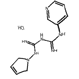 Cl.N=C(NC(=N)NN1CC=CC1)Nc1cccnc1